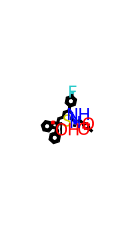 CC1OC(CN(C)C(=S)NC(CCCC(C)(C)[Si](O)(c2ccccc2)c2ccccc2)c2ccc(F)cc2)O1